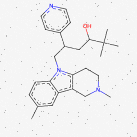 Cc1ccc2c(c1)c1c(n2CC(CC(O)C(C)(C)C)c2ccncc2)CCN(C)C1